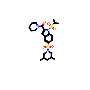 CC1CC(C)CN(S(=O)(=O)c2ccc3c(c2)cc(C(=O)N2CCCCC2)n3S(=O)(=O)C(C)C)C1